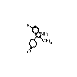 Cc1[nH]c2ccc(F)cc2c1C1CCC(=O)CC1